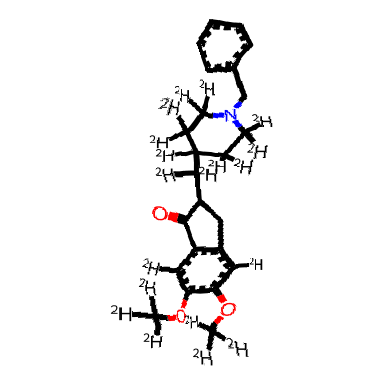 [2H]c1c2c(c([2H])c(OC([2H])([2H])[2H])c1OC([2H])([2H])[2H])C(=O)C(C([2H])([2H])C1([2H])C([2H])([2H])C([2H])([2H])N(Cc3ccccc3)C([2H])([2H])C1([2H])[2H])C2